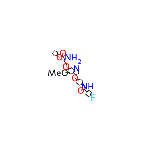 COc1cc2c(Oc3ccc(NC(=O)c4ccc(F)cc4)cc3)ccnc2cc1OCCC(N)C(=O)OC1CCCC1